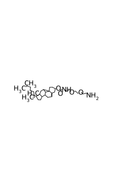 CC(C)CCCC(C)C1CCC2C3CC=C4CC(OC(=O)NCCOCCOCCN)CCC45C(CC12C)C35